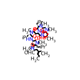 C=C/C=C(\C=C)C[C@@H](C=O)N(C)C(=O)[C@H](CC(C)C)N(C)C(=O)[C@H](CC(C)C)NC(=O)[C@H](CC(C)C)N(C)C(=O)CC(NC(=O)[C@H](CC(C)C)N(C)C(=O)CN(C)C(=O)CC(C)O)C(=O)N1CCCCC1